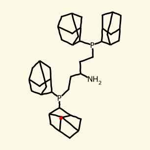 NC(CCP(C1C2CC3CC(C2)CC1C3)C1C2CC3CC(C2)CC1C3)CCP(C1C2CC3CC(C2)CC1C3)C1C2CC3CC(C2)CC1C3